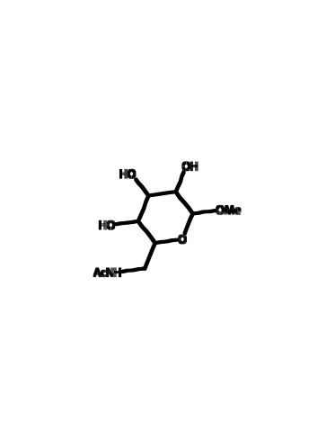 COC1OC(CNC(C)=O)C(O)C(O)C1O